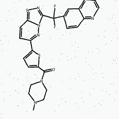 CN1CCN(C(=O)c2ccc(-c3ccc4nnc(C(F)(F)c5ccc6ncccc6c5)n4n3)s2)CC1